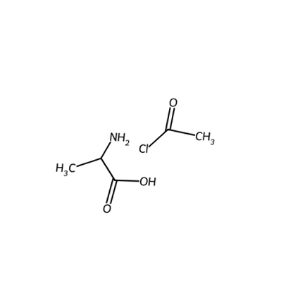 CC(=O)Cl.CC(N)C(=O)O